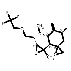 CO[C@@H]1C(=O)[C@@H](F)C[C@]2(CO2)[C@H]1C1(C)O[C@@H]1CCOCC(F)(F)F